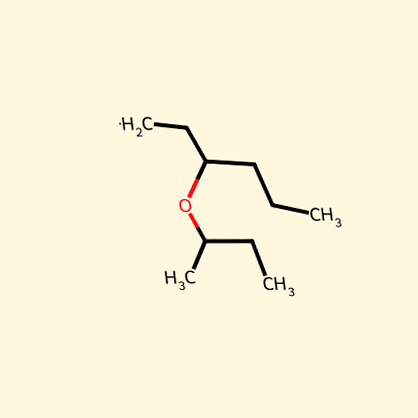 [CH2]CC(CCC)OC(C)CC